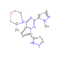 C[C@@H]1COCCN1c1nc(-c2ccnn2C)nn2c(-c3ccn[nH]3)ccc12